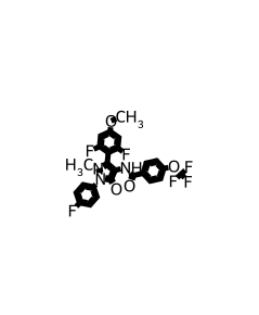 COc1cc(F)c(-c2c(NC(=O)c3ccc(OC(F)(F)F)cc3)c(=O)n(-c3ccc(F)cc3)n2C)c(F)c1